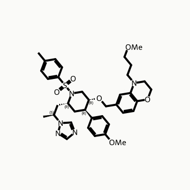 COCCCN1CCOc2ccc(CO[C@H]3CN(S(=O)(=O)c4ccc(C)cc4)[C@@H](C[C@H](C)n4cncn4)C[C@@H]3c3ccc(OC)cc3)cc21